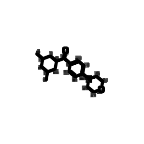 CC1CC(C)CC(C(=O)c2ccc(N3CCOCC3)cc2)C1